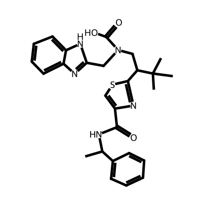 CC(NC(=O)c1csc(C(CN(Cc2nc3ccccc3[nH]2)C(=O)O)C(C)(C)C)n1)c1ccccc1